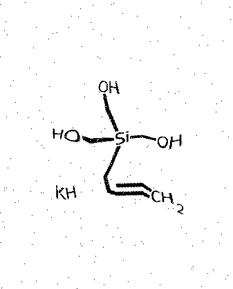 C=C[Si](O)(O)O.[KH]